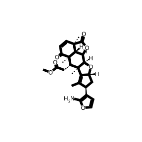 COC(=O)C[C@H]1[C@]2(C)C3=C(C)[C@H](c4ccoc4N)C[C@H]3O[C@@H]2[C@@H]2OC(=O)[C@]3(C)C=CC(=O)[C@@]1(C)[C@@H]23